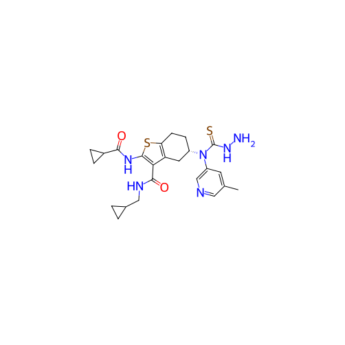 Cc1cncc(N(C(=S)NN)[C@H]2CCc3sc(NC(=O)C4CC4)c(C(=O)NCC4CC4)c3C2)c1